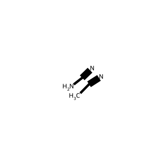 CC#N.N#CN